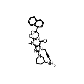 CC#CCn1c(N2CCCC(N)C2)nc2c1c(=O)n(CC(=O)c1cccc3ccccc13)c(=O)n2C